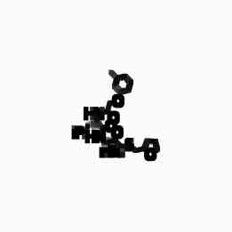 CCCC[C@H](NC(=O)[C@H](CC(C)C)NC(=O)COc1cccc(C)c1)C(=O)CSCc1ccco1